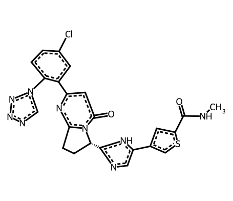 CNC(=O)c1cc(-c2cnc([C@@H]3CCc4nc(-c5cc(Cl)ccc5-n5cnnn5)cc(=O)n43)[nH]2)cs1